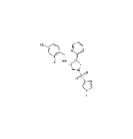 Cn1cnc(S(=O)(=O)N2C[C@H](NCc3ccc(Cl)cc3Cl)[C@@H](c3ccccn3)C2)c1